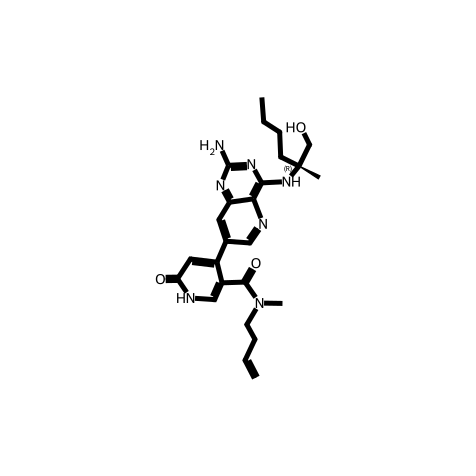 C=CCCN(C)C(=O)c1c[nH]c(=O)cc1-c1cnc2c(N[C@@](C)(CO)CCCC)nc(N)nc2c1